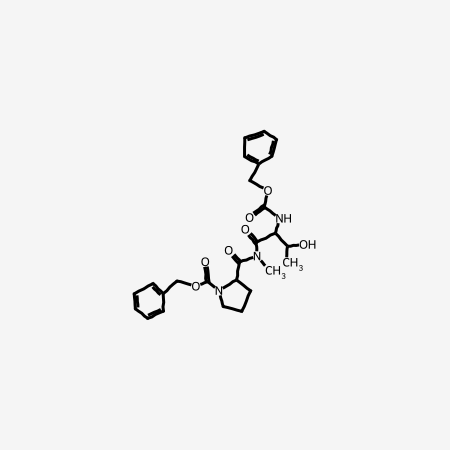 CC(O)C(NC(=O)OCc1ccccc1)C(=O)N(C)C(=O)C1CCCN1C(=O)OCc1ccccc1